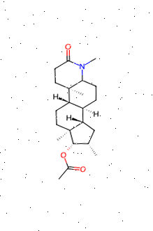 CC(=O)O[C@H]1[C@@H](C)C[C@H]2[C@@H]3CCC4N(C)C(=O)CC[C@]4(C)[C@H]3CC[C@@]21C